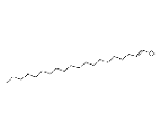 CCCCCCCCCCCCCCCCCCC=C[O]